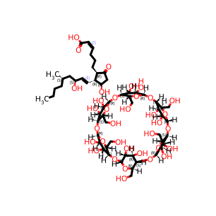 CCCC[C@H](C)C[C@H](O)/C=C/[C@H]1[C@H](O)CC(=O)[C@@H]1CCC/C=C\C(=O)O.OC[C@H]1O[C@@H]2O[C@H]3[C@H](O)[C@@H](O)[C@@H](O[C@H]4[C@H](O)[C@@H](O)[C@@H](O[C@H]5[C@H](O)[C@@H](O)[C@@H](O[C@H]6[C@H](O)[C@@H](O)[C@@H](O[C@H]7[C@H](O)[C@@H](O)[C@@H](O[C@H]1[C@H](O)[C@H]2O)O[C@@H]7CO)O[C@@H]6CO)O[C@@H]5CO)O[C@@H]4CO)O[C@@H]3CO